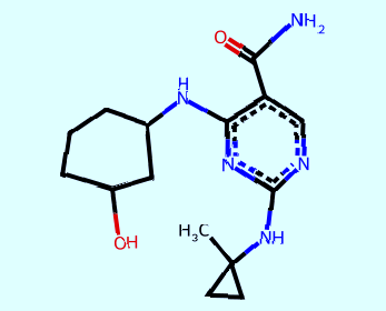 CC1(Nc2ncc(C(N)=O)c(NC3CCCC(O)C3)n2)CC1